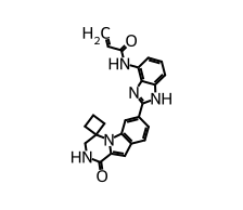 C=CC(=O)Nc1cccc2[nH]c(-c3ccc4cc5n(c4c3)C3(CCC3)CNC5=O)nc12